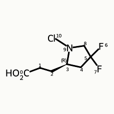 O=C(O)CC[C@@H]1CC(F)(F)CN1Cl